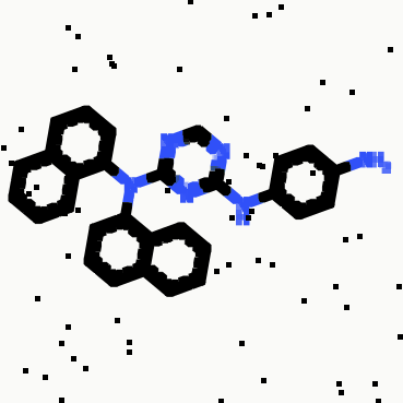 Nc1ccc(Nc2ncnc(N(c3cccc4ccccc34)c3cccc4ccccc34)n2)cc1